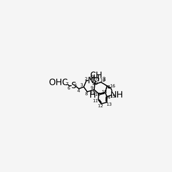 CN1CC(CSCC=O)C[C@@H]2c3cccc4[nH]cc(c34)C[C@H]21